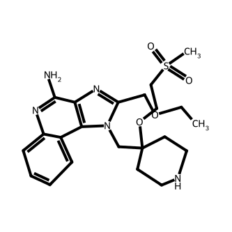 CCOCc1nc2c(N)nc3ccccc3c2n1CC1(OCCS(C)(=O)=O)CCNCC1